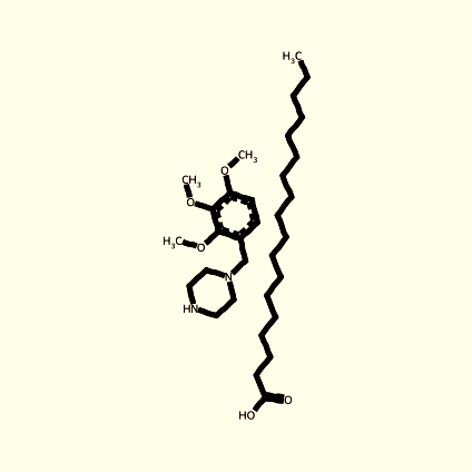 CCCCCCCCCCCCCCCCCC(=O)O.COc1ccc(CN2CCNCC2)c(OC)c1OC